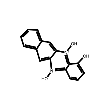 Oc1cccc2c1[n+](O)c1cc3ccccc3cc1[n+]2O